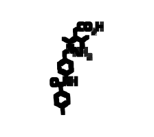 C=C(C)/C(CC(=O)O)=C(/C)N(N)Cc1ccc(NC(=O)c2ccc(C)cc2)cc1